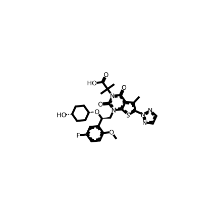 COc1ccc(F)cc1[C@H](Cn1c(=O)n(C(C)(C)C(=O)O)c(=O)c2c(C)c(-n3nccn3)sc21)O[C@H]1CC[C@@H](O)CC1